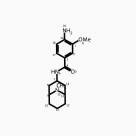 COc1cc(C(=O)NC2CC3CCCC(C2)N3C)ccc1N